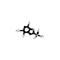 Cc1cc(Cl)c2sc(S(N)(=O)=O)cc2c1Cl